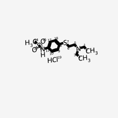 CCN(CC)CCSc1ccc(NS(C)(=O)=O)cc1.Cl